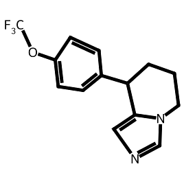 FC(F)(F)Oc1ccc(C2CCCn3cncc32)cc1